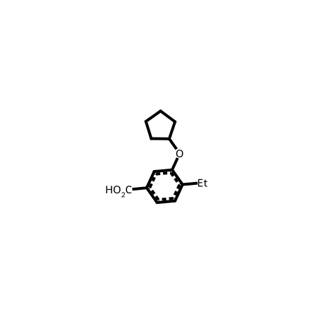 CCc1ccc(C(=O)O)cc1OC1CCCC1